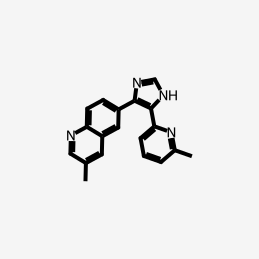 Cc1cnc2ccc(-c3nc[nH]c3-c3cccc(C)n3)cc2c1